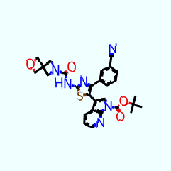 CC(C)(C)OC(=O)n1cc(-c2sc(NC(=O)N3CC4(COC4)C3)nc2-c2cccc(C#N)c2)c2cccnc21